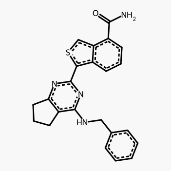 NC(=O)c1cccc2c(-c3nc4c(c(NCc5ccccc5)n3)CCC4)scc12